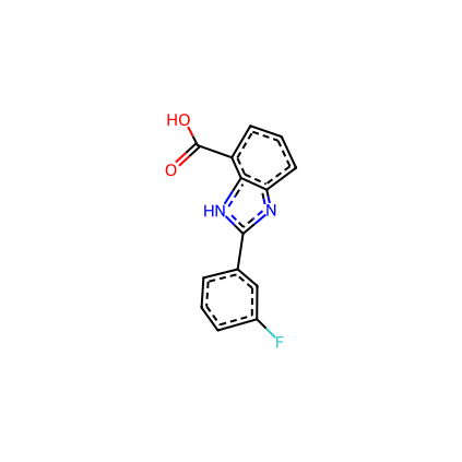 O=C(O)c1cccc2nc(-c3cccc(F)c3)[nH]c12